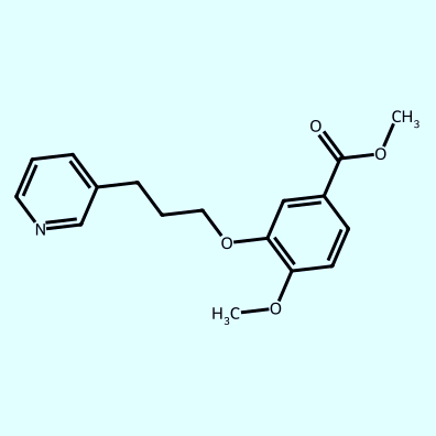 COC(=O)c1ccc(OC)c(OCCCc2cccnc2)c1